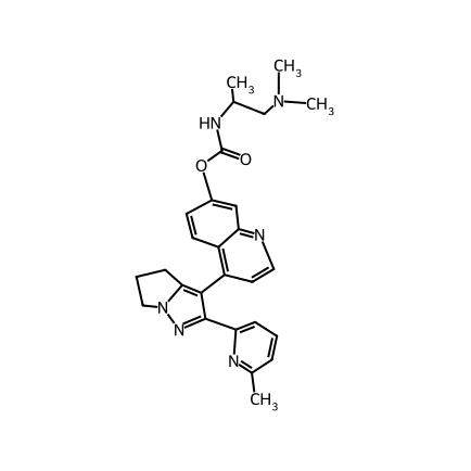 Cc1cccc(-c2nn3c(c2-c2ccnc4cc(OC(=O)NC(C)CN(C)C)ccc24)CCC3)n1